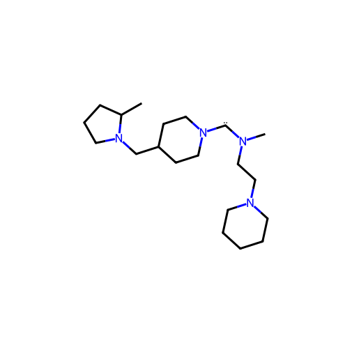 CC1CCCN1CC1CCN([C]N(C)CCN2CCCCC2)CC1